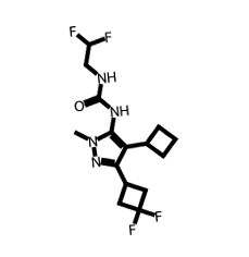 Cn1nc(C2CC(F)(F)C2)c(C2CCC2)c1NC(=O)NCC(F)F